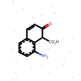 Nc1cccc2c1C(C(=O)O)C(=O)[C]=C2